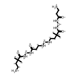 BCCC(=O)NONC(=O)C(C)(C)CCNONCCC(=O)NONC(=O)C(C)(C)CCB